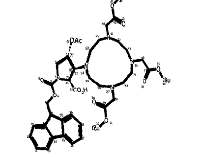 CC(=O)O[C@H]1CN(C(=O)OCC2c3ccccc3-c3ccccc32)[C@H](C(=O)O)[C@@H]1N1CCN(CC(=O)OC(C)(C)C)CCN(CC(=O)OC(C)(C)C)CCN(CC(=O)OC(C)(C)C)CC1